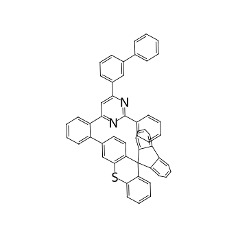 c1ccc(-c2cccc(-c3cc(-c4ccccc4-c4ccc5c(c4)Sc4ccccc4C54c5ccccc5-c5ccccc54)nc(-c4ccccc4)n3)c2)cc1